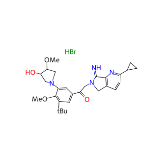 Br.COc1c(N2CC(O)C(OC)C2)cc(C(=O)CN2Cc3ccc(C4CC4)nc3C2=N)cc1C(C)(C)C